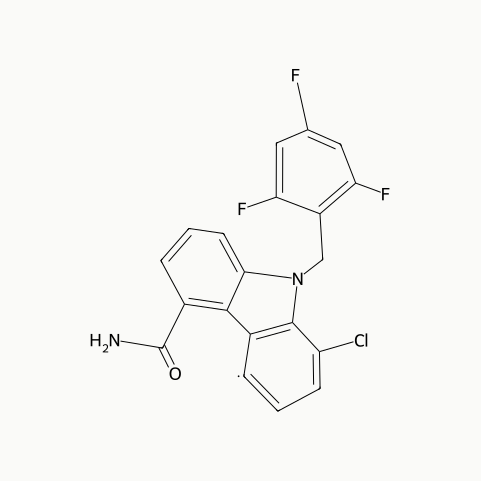 NC(=O)c1cccc2c1c1[c]ccc(Cl)c1n2Cc1c(F)cc(F)cc1F